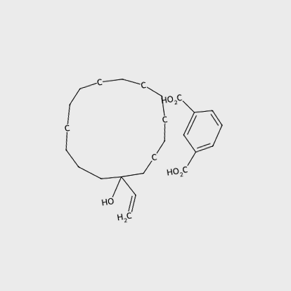 C=CC1(O)CCCCCCCCCCCCCC1.O=C(O)c1cccc(C(=O)O)c1